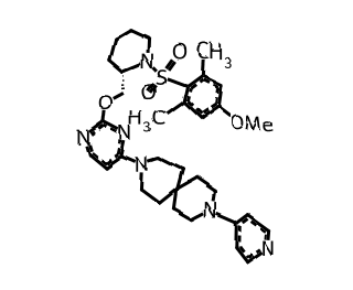 COc1cc(C)c(S(=O)(=O)N2CCCC[C@H]2COc2nccc(N3CCC4(CCN(c5ccncc5)CC4)CC3)n2)c(C)c1